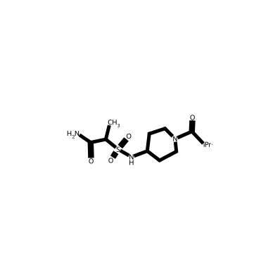 C[C](C)C(=O)N1CCC(NS(=O)(=O)C(C)C(N)=O)CC1